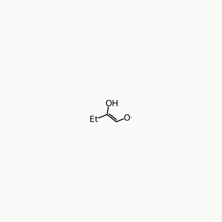 CCC(O)=C[O]